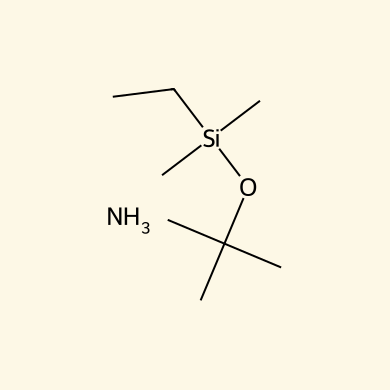 CC[Si](C)(C)OC(C)(C)C.N